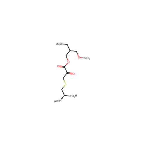 COCC(COC(=O)C(=O)CSC[C@H](NC(C)=O)C(=O)O)CO[N+](=O)[O-]